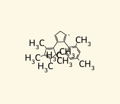 CC1=C(C)C(C)(C)C(C2=CC[C]=C2c2c(C)cc(C)cc2C)=C1C